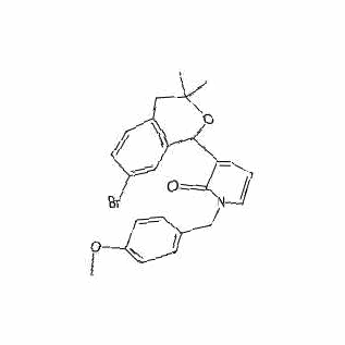 COc1ccc(Cn2cccc(C3OC(C)(C)Cc4ccc(Br)cc43)c2=O)cc1